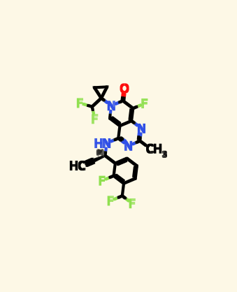 C#C[C@@H](Nc1nc(C)nc2c(F)c(=O)n(C3(C(F)F)CC3)cc12)c1cccc(C(F)F)c1F